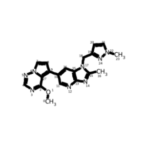 COc1ncnn2ccc(-c3cnc4nc(C)n(Cc5ccn(C)n5)c4c3)c12